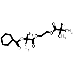 CCC(C)(C)C(=O)OCCOC(=O)C(C)(OC(=O)C1CCCCC1)C(F)(F)F